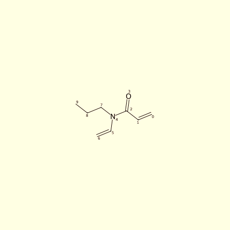 C=CC(=O)N(C=C)CCC